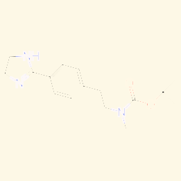 CN(CCc1ccc(C2=NCCN2)cc1)C(=O)OC(C)(C)C